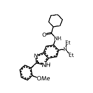 CCN(CC)c1cc2[nH]c(-c3ccccc3OC)nc2cc1NC(=O)C1CCCCC1